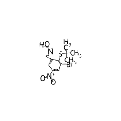 CC(C)(C)Sc1c(Br)cc([N+](=O)[O-])cc1C=NO